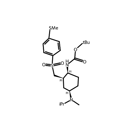 CSc1ccc(S(=O)(=O)C[C@@H]2C[C@H](N(C)C(C)C)CC[C@@H]2NC(=O)OC(C)(C)C)cc1